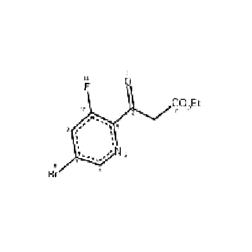 CCOC(=O)CC(=O)c1ncc(Br)cc1F